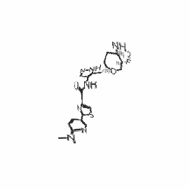 CN(C)c1ccc(-c2nc(C(=O)Nc3cn[nH]c3C[C@@H]3CC[C@@H](N)[C@H](F)CO3)cs2)cn1